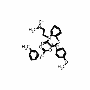 COc1ccc([C@@H]2Sc3ccccc3N(CCN(C)C)C(=O)[C@@H]2OC(C)=O)cc1.Cc1ccccc1